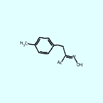 CC(=O)/C(Cc1ccc(C)cc1)=N\O